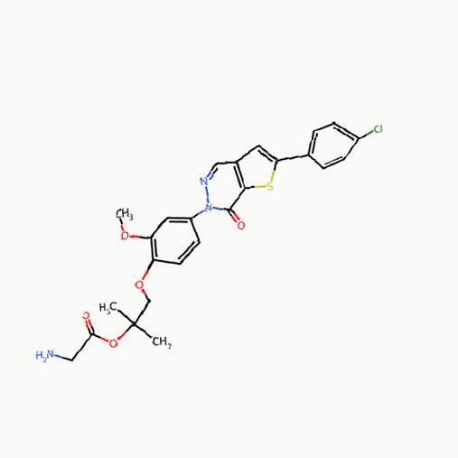 COc1cc(-n2ncc3cc(-c4ccc(Cl)cc4)sc3c2=O)ccc1OCC(C)(C)OC(=O)CN